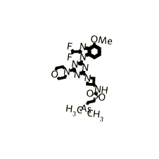 COc1cccc2c1nc(C(F)F)n2-c1nc(N2CCOCC2)nc(N2CC(NS(=O)(=O)CC[As](C)C)C2)n1